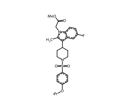 COC(=O)Cn1c(C)c(C2CCN(S(=O)(=O)c3ccc(OC(C)C)cc3)CC2)c2cc(F)ccc21